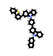 c1ccc2cc(-n3c4ccccc4c4cc(-c5ccc(-n6c7ccccc7c7ccc(-c8cccc9c8sc8ccccc89)cc76)cc5)ccc43)ccc2c1